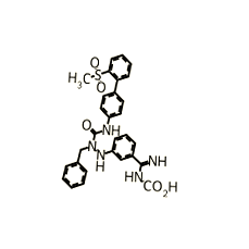 CS(=O)(=O)c1ccccc1-c1ccc(NC(=O)N(Cc2ccccc2)Nc2cccc(C(=N)NC(=O)O)c2)cc1